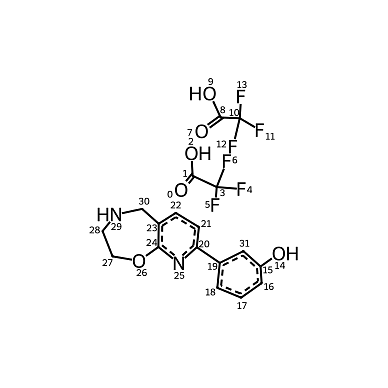 O=C(O)C(F)(F)F.O=C(O)C(F)(F)F.Oc1cccc(-c2ccc3c(n2)OCCNC3)c1